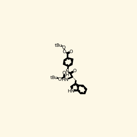 CC(C)(C)OOC(=O)c1ccc(NC(=O)[C@H](Cc2c[nH]c3ccccc23)NC(=O)OC(C)(C)C)cc1